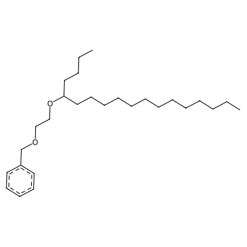 CCCCCCCCCCCCCC(CCCC)OCCOCc1ccccc1